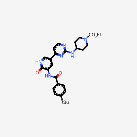 CCOC(=O)N1CCC(Nc2nccc(-c3c[nH]c(=O)c(NC(=O)c4ccc(C(C)(C)C)cc4)c3)n2)CC1